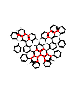 CC(C)(C)c1ccc(N(c2ccc(C(C)(C)C)cc2)c2cc3c4c(c2)N(c2c(-c5cccc6c7ccccc7n(-c7ccccc7)c56)cccc2-c2cccc5c6ccccc6n(-c6ccccc6)c25)c2cc(-c5ccccc5)ccc2N4c2ccc(-c4ccccc4)cc2N3c2c(-c3cccc4c5ccccc5n(-c5ccccc5)c34)cccc2-c2cccc3c4ccccc4n(-c4ccccc4)c23)cc1